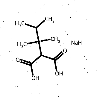 CC(C)C(C)(C)C(C(=O)O)C(=O)O.[NaH]